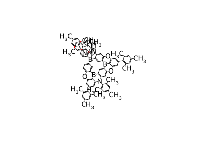 Cc1cc(C)c(-c2cc3c4c(c2)Oc2cc5c(cc2B4c2cc4c(cc2O3)Nc2cc(-c3c(C)cc(C)cc3C)cc3c2B4c2cccc4c2N3c2ccccc2[Si]4(C)C)B2c3ccccc3Oc3cc(-c4c(C)cc(C)cc4C)cc(c32)N5c2c(C)cc(C)cc2C)c(C)c1